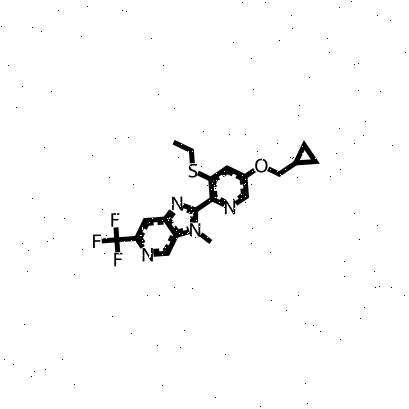 CCSc1cc(OCC2CC2)cnc1-c1nc2cc(C(F)(F)F)ncc2n1C